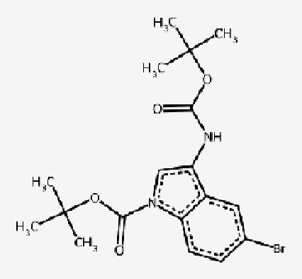 CC(C)(C)OC(=O)Nc1cn(C(=O)OC(C)(C)C)c2ccc(Br)cc12